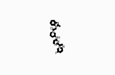 Cc1nc2ccccc2n1CC(=O)N1CCCC(Nc2ccnc(-c3cnc4ccc(F)cn34)n2)C1